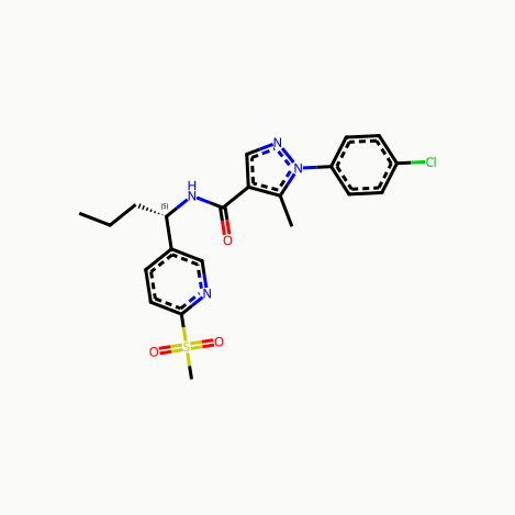 CCC[C@H](NC(=O)c1cnn(-c2ccc(Cl)cc2)c1C)c1ccc(S(C)(=O)=O)nc1